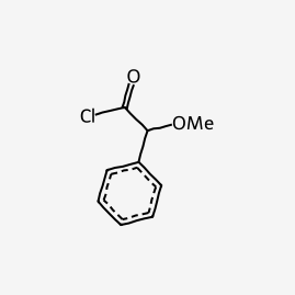 COC(C(=O)Cl)c1ccccc1